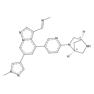 CN=Cc1cnn2cc(-c3cnn(C)c3)cc(-c3ccc(N4C[C@@H]5C[C@H]4CN5)nc3)c12